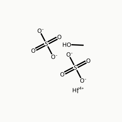 CO.O=S(=O)([O-])[O-].O=S(=O)([O-])[O-].[Hf+4]